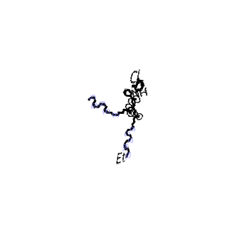 C/C=C\C/C=C\C/C=C\C/C=C\C/C=C\CCCC(=O)OC(COC(=O)CCC/C=C\C/C=C\C/C=C\C/C=C\C/C=C\CC)COC(=O)c1ccccc1Nc1cccc(Cl)c1C